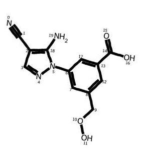 N#Cc1cnn(-c2cc(COO)cc(C(=O)O)c2)c1N